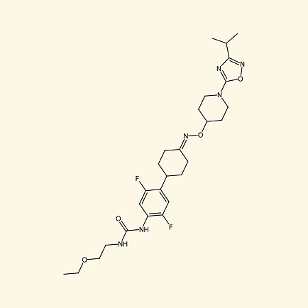 CCOCCNC(=O)Nc1cc(F)c(C2CCC(=NOC3CCN(c4nc(C(C)C)no4)CC3)CC2)cc1F